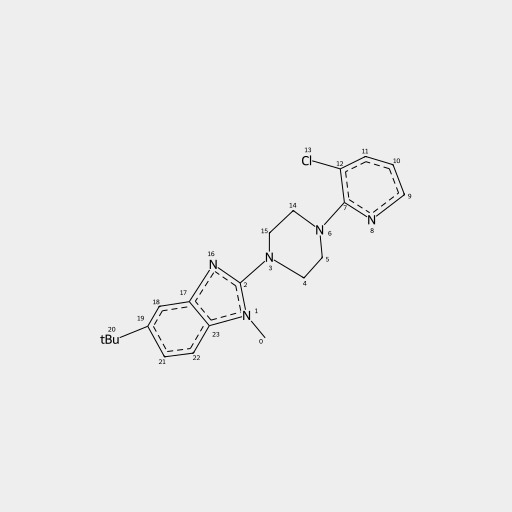 Cn1c(N2CCN(c3ncccc3Cl)CC2)nc2cc(C(C)(C)C)ccc21